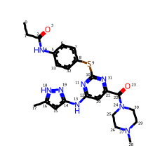 CCC(=O)Nc1ccc(Sc2nc(Nc3cc(C)[nH]n3)cc(C(=O)N3CCN(C)CC3)n2)cc1